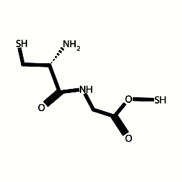 N[C@@H](CS)C(=O)NCC(=O)OS